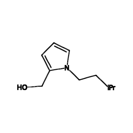 CC(C)CCn1cccc1CO